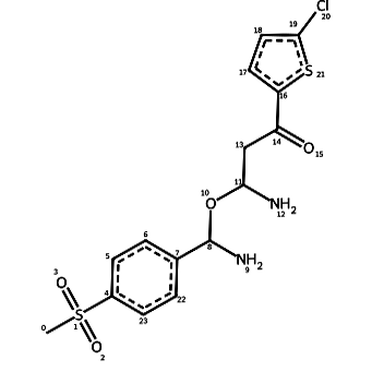 CS(=O)(=O)c1ccc(C(N)OC(N)CC(=O)c2ccc(Cl)s2)cc1